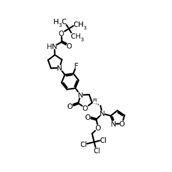 CC(C)(C)OC(=O)NC1CCN(c2ccc(N3C[C@H](CN(C(=O)OCC(Cl)(Cl)Cl)c4ccon4)OC3=O)cc2F)C1